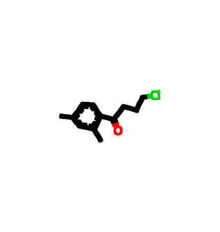 Cc1ccc(C(=O)CCCCl)c(C)c1